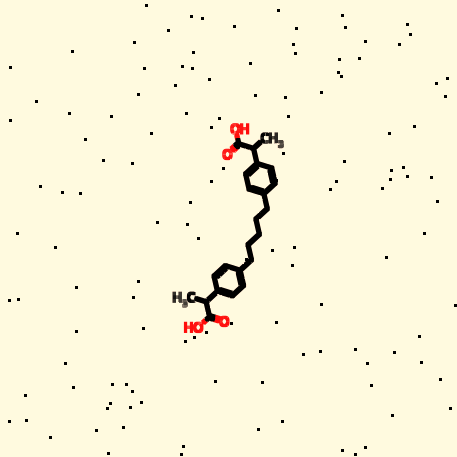 CC(C(=O)O)c1ccc(CCCCCc2ccc(C(C)C(=O)O)cc2)cc1